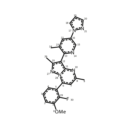 COc1cccc(-c2cc(C)nc3c(-c4ncc(-n5cccn5)cc4C)c(C)nn23)c1F